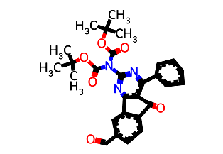 CC(C)(C)OC(=O)N(C(=O)OC(C)(C)C)c1nc(-c2ccccc2)c2c(n1)-c1cc(C=O)ccc1C2=O